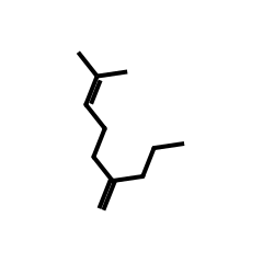 C=C(CCC)CCC=C(C)C